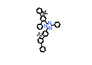 C[Si]1(C)c2ccc(-c3ccccc3)cc2-c2ccc(-c3nc(-c4ccccc4)nc(-c4cc5c(cc4-c4ccccc4)-c4ccccc4[Si]5(C)C)n3)cc21